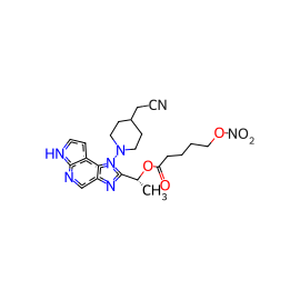 C[C@@H](OC(=O)CCCCO[N+](=O)[O-])c1nc2cnc3[nH]ccc3c2n1N1CCC(CC#N)CC1